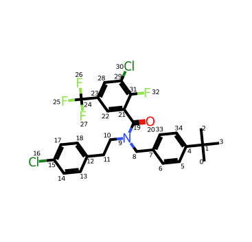 CC(C)(C)c1ccc(CN(CCc2ccc(Cl)cc2)C(=O)c2cc(C(F)(F)F)cc(Cl)c2F)cc1